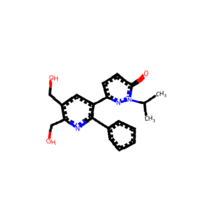 CC(C)n1nc(-c2cc(CO)c(CO)nc2-c2ccccc2)ccc1=O